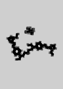 CCN(CCOCCN(CC)c1ccc(N=Nc2scc[n+]2CC)cc1)c1ccc(N=Nc2scc[n+]2CC)cc1.[Cl][Zn-2]([Cl])([Cl])[Cl]